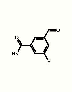 O=Cc1cc(F)cc(C(=O)S)c1